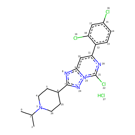 CC(C)N1CCC(c2nc3cc(-c4ccc(Cl)cc4Cl)nc(Cl)n3n2)CC1.Cl